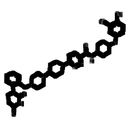 N#Cc1ccc(OC2CCC(NC(=O)c3ccc(N4CCC(N5CCN(Cc6ccccc6C6CCC(=O)NC6=O)CC5)CC4)nn3)CC2)cc1Cl